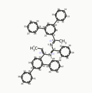 C/C=C(/N=C(\N=C(/C)c1cc(-c2ccccc2)cc(-c2ccccc2)c1)c1ccccc1)c1ccc(-c2ccccc2)cc1-c1ccccc1